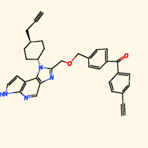 C#CC[C@H]1CC[C@H](n2c(COCc3ccc(C(=O)c4ccc(C#C)cc4)cc3)nc3cnc4[nH]ccc4c32)CC1